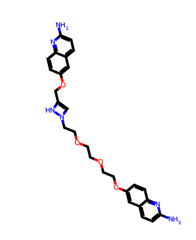 Nc1ccc2cc(OCCOCCOCCn3cc(COc4ccc5nc(N)ccc5c4)[nH]3)ccc2n1